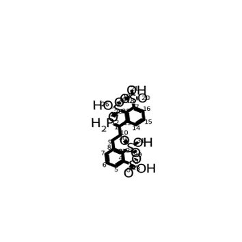 O=S(=O)(O)c1cccc(CCC(P)c2cccc(S(=O)(=O)O)c2S(=O)(=O)O)c1S(=O)(=O)O